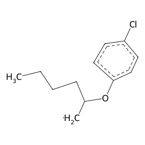 [CH2]C(CCCC)Oc1ccc(Cl)cc1